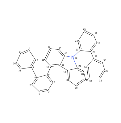 c1ccc(-c2ccccc2-c2cccc3c2c2ccccc2n3-c2ccccc2-c2ccccc2)cc1